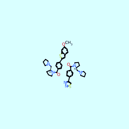 COc1ccc2cc(-c3ccc(C(=O)N4CCC[C@H]4CN4CCCC4)cc3)sc2c1.O=C(c1ccc(-c2csnn2)cc1)N1CCC[C@H]1CN1CCCC1